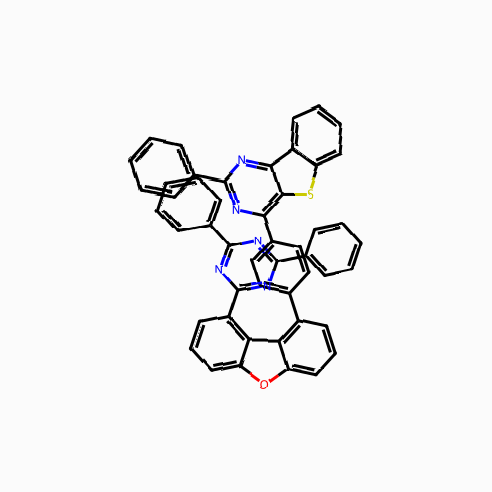 c1ccc(-c2nc(-c3ccccc3)nc(-c3cccc4oc5cccc(-c6ccc(-c7nc(-c8ccccc8)nc8c7sc7ccccc78)cc6)c5c34)n2)cc1